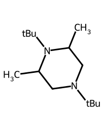 CC1CN(C(C)(C)C)CC(C)N1C(C)(C)C